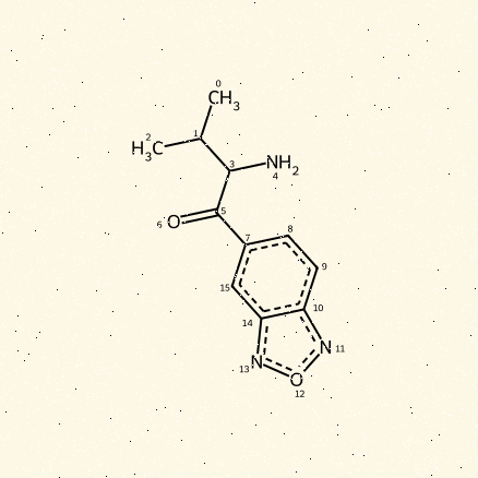 CC(C)C(N)C(=O)c1ccc2nonc2c1